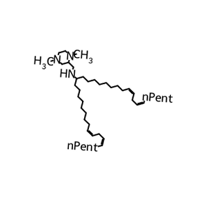 CCCCC/C=C\C/C=C\CCCCCCCCC(CCCCCCCC/C=C\C/C=C\CCCCC)NCC1CN(C)CCN1C